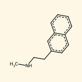 CNCCc1ccc2ccccc2c1